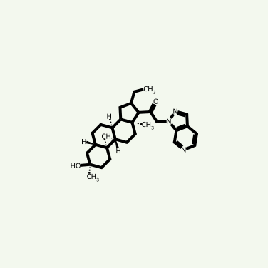 CCC1CC2[C@@H]3CC[C@H]4C[C@](C)(O)CC[C@]4(C)[C@H]3CC[C@]2(C)C1C(=O)Cn1ncc2ccncc21